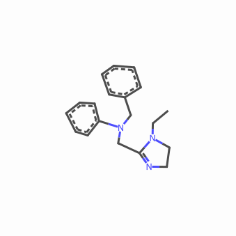 CCN1CCN=C1CN(Cc1ccccc1)c1ccccc1